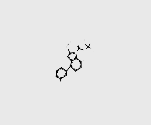 CC(C)(C)OC(=O)n1c(BO)cc2c(-c3cccc(F)c3)cccc21